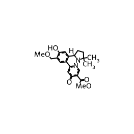 COCc1cc2c(cc1O)[C@H]1CCC(C)(C)N1n1cc(C(=O)OC)c(=O)cc1-2